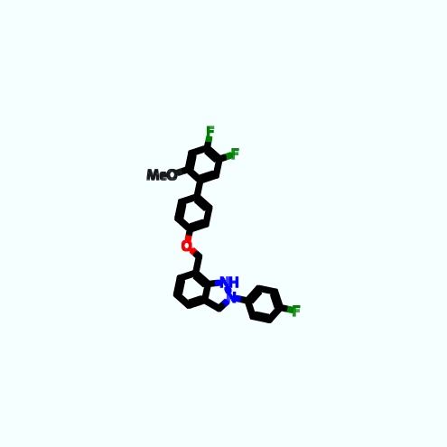 COc1cc(F)c(F)cc1-c1ccc(OCc2cccc3c2NN(c2ccc(F)cc2)C3)cc1